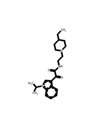 CCC1CCN(CCNC(=O)C(=O)c2cn(C(C)C)c3ccccc23)CC1